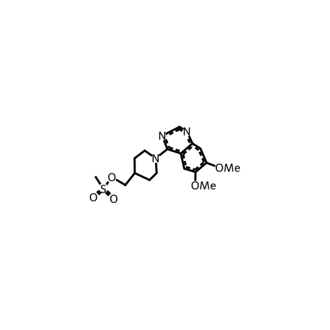 COc1cc2ncnc(N3CCC(COS(C)(=O)=O)CC3)c2cc1OC